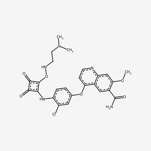 COc1cc2nccc(Oc3ccc(Nc4c(ONCCN(C)C)c(=O)c4=O)c(Cl)c3)c2cc1C(N)=O